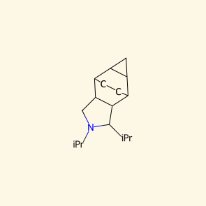 CC(C)C1C2C3CCC(C4CC43)C2CN1C(C)C